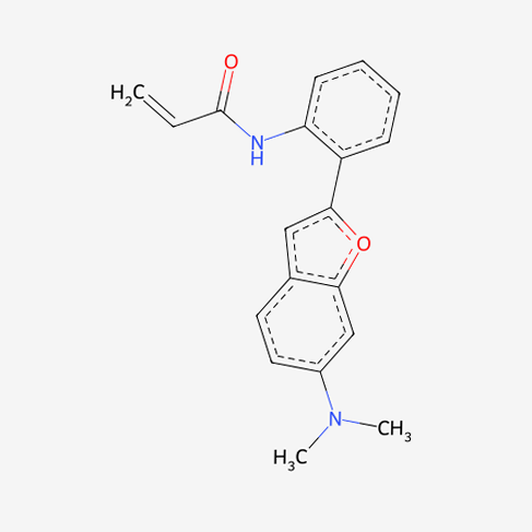 C=CC(=O)Nc1ccccc1-c1cc2ccc(N(C)C)cc2o1